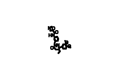 CCC1CC(=O)N(Cc2cccc(NC(=O)c3cnco3)c2)N=C1c1ccc(OC)c(OC)c1